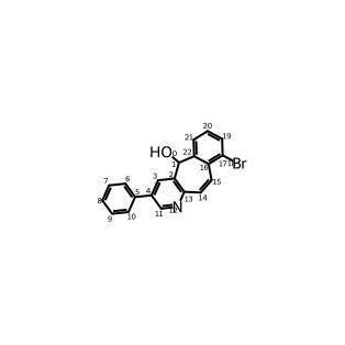 OC1c2cc(-c3ccccc3)cnc2C=Cc2c(Br)cccc21